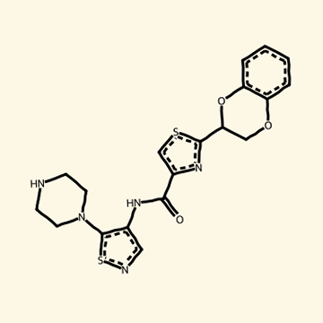 O=C(Nc1cnsc1N1CCNCC1)c1csc(C2COc3ccccc3O2)n1